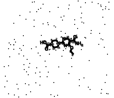 CCOc1nc(N2CCN(C(=O)O)CC2)ncc1C(N)=O